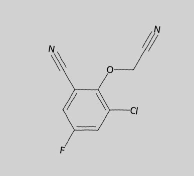 N#CCOc1c(Cl)cc(F)cc1C#N